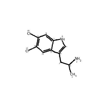 CC(N)Cc1c[nH]c2cc(Cl)c(Cl)cc12